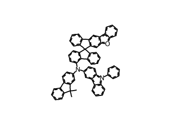 CC1(C)c2ccccc2-c2ccc(N(c3ccc4c(c3)c3ccccc3n4-c3ccccc3)c3cccc4c3-c3ccccc3C43c4ccccc4-c4cc5c(cc43)oc3ccccc35)cc21